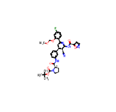 COCOc1cc(F)ccc1-c1cc(-c2cccc(NC(=O)[C@H]3CCCN3C(=O)OC(C)(C)C)c2)c(C#N)c(NC(=O)c2ccno2)n1